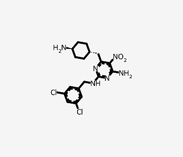 Nc1nc(NCc2cc(Cl)cc(Cl)c2)nc(C[C@H]2CC[C@H](N)CC2)c1[N+](=O)[O-]